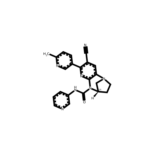 Cc1ccc(-c2nc3c(cc2C#N)N2CC[C@@H](C2)N3C(=O)Nc2cccnc2)cn1